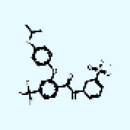 CC(C)Oc1ccc(Oc2cc(C(F)(F)F)ccc2C(=O)NC2C=CC=C(S(N)(=O)=O)C2)cc1